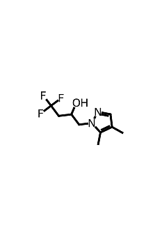 Cc1cnn(CC(O)CC(F)(F)F)c1C